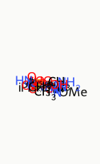 COc1nc(N)nc2c1ncn2C1O[C@H](CO[P@@](=O)(N[C@H](C)C(=O)OC(C)C)SC[C@H]2C(=O)NC(=O)N2C)[C@@H](O)[C@@]1(C)O